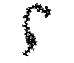 CC(C)CCC[C@@H](C)[C@H]1CC[C@H]2[C@@H]3CC=C4C[C@@H](OC(=O)NCCNC(=O)CCC(C)(C)OCCC(C)(C)NC(=O)CCN5C(=O)C=CC5=O)CC[C@]4(C)[C@H]3CC[C@]12C